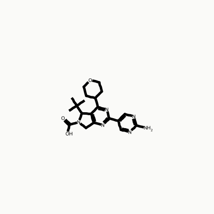 CC(C)(C)C1c2c(nc(-c3cnc(N)nc3)nc2C2CCOCC2)CN1C(=O)O